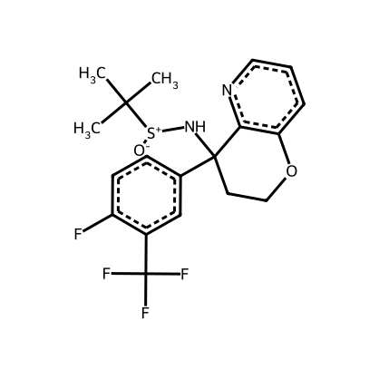 CC(C)(C)[S+]([O-])NC1(c2ccc(F)c(C(F)(F)F)c2)CCOc2cccnc21